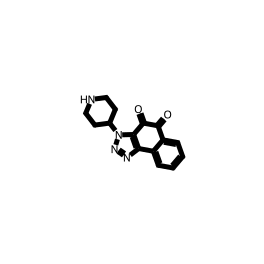 O=C1C(=O)c2c(nnn2C2CCNCC2)-c2ccccc21